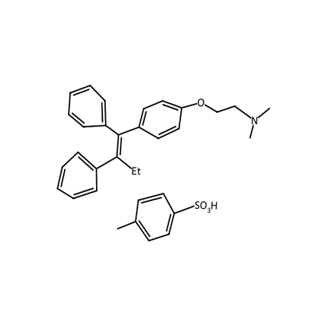 CCC(=C(c1ccccc1)c1ccc(OCCN(C)C)cc1)c1ccccc1.Cc1ccc(S(=O)(=O)O)cc1